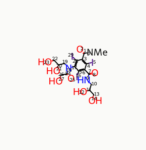 CNC(=O)c1c(I)c(C(=O)NCC(O)CO)c(I)c(N(CC(O)CO)C(=O)CO)c1I